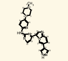 CN1CCN(c2ccc(Nc3nccc(-c4cnc5ccc(-c6cn[nH]c6)cn45)n3)nc2)CC1